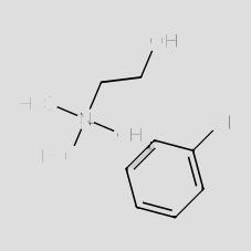 C[N+](C)(C)CCO.Clc1ccccc1